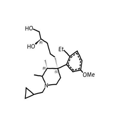 CCc1ccc(OC)cc1[C@@]1(CCC[C@@H](O)CO)CCN(CC2CC2)C(C)[C@@H]1C